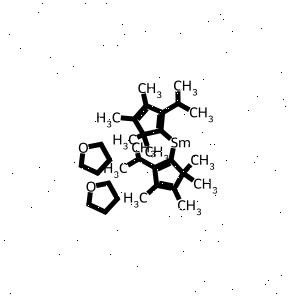 C1CCOC1.C1CCOC1.CC1=C(C)C(C)(C)[C]([Sm][C]2=C(C(C)C)C(C)=C(C)C2(C)C)=C1C(C)C